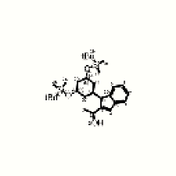 CC(O)C1=Cc2ccccc2C1C1C[C@@H](O[Si](C)(C)C(C)(C)C)C[C@H](O[Si](C)(C)C(C)(C)C)C1